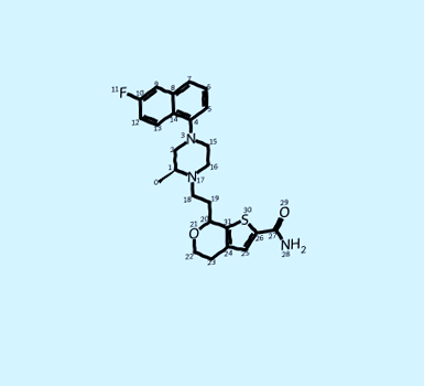 C[C@H]1CN(c2cccc3cc(F)ccc23)CCN1CCC1OCCc2cc(C(N)=O)sc21